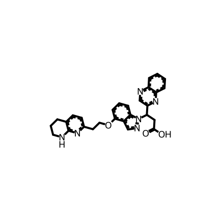 O=C(O)CC(c1cnc2ccccc2n1)n1ncc2c(OCCc3ccc4c(n3)NCCC4)cccc21